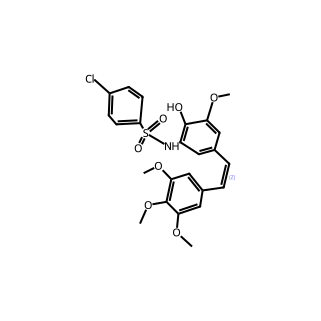 COc1cc(/C=C\c2cc(OC)c(OC)c(OC)c2)cc(NS(=O)(=O)c2ccc(Cl)cc2)c1O